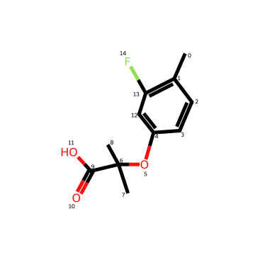 Cc1ccc(OC(C)(C)C(=O)O)cc1F